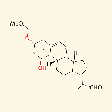 COCO[C@@H]1CC2=CC=C3[C@@H]4CC[C@H](C(C)C=O)[C@@]4(C)CC[C@@H]3[C@@]2(C)[C@@H](O)C1